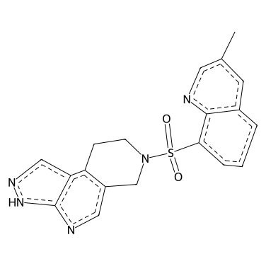 Cc1cnc2c(S(=O)(=O)N3CCc4c(cnc5[nH]ncc45)C3)cccc2c1